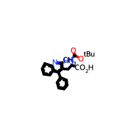 Cc1nc2ccccc2c(-c2ccccc2)c1CC(NC(=O)OC(C)(C)C)C(=O)O